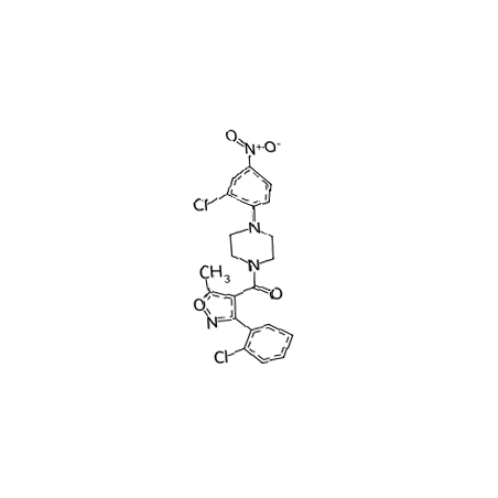 Cc1onc(-c2ccccc2Cl)c1C(=O)N1CCN(c2ccc([N+](=O)[O-])cc2Cl)CC1